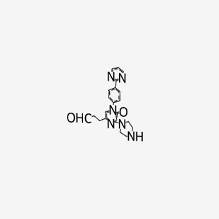 O=CCCc1cn(-c2ccc(-c3ncccn3)cc2)c(=O)c(N2CCNCC2)n1